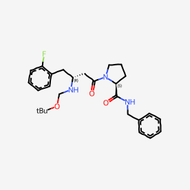 CC(C)(C)OCN[C@@H](CC(=O)N1CCC[C@H]1C(=O)NCc1ccccc1)Cc1ccccc1F